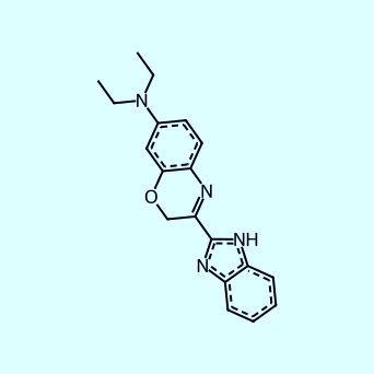 CCN(CC)c1ccc2c(c1)OCC(c1nc3ccccc3[nH]1)=N2